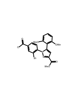 COC(=O)c1cc(-c2c(OC)cccc2OC)n(-c2ccc(C(=O)Cl)cc2C(C)C)n1